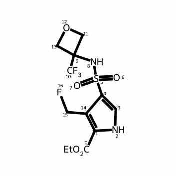 CCOC(=O)c1[nH]cc(S(=O)(=O)NC2(C(F)(F)F)COC2)c1CF